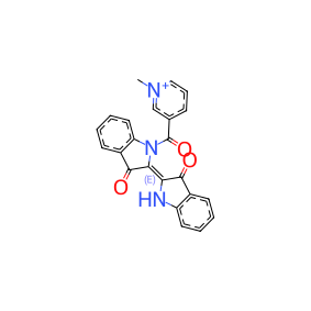 C[n+]1cccc(C(=O)N2/C(=C3/Nc4ccccc4C3=O)C(=O)c3ccccc32)c1